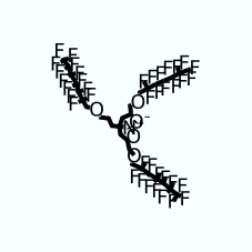 O=[N+]([O-])C(CCCOCC(F)(F)C(F)(F)C(F)(F)C(F)(F)C(F)(F)C(F)(F)F)(CCCOCC(F)(F)C(F)(F)C(F)(F)C(F)(F)C(F)(F)C(F)(F)F)CCCOCC(F)(F)C(F)(F)C(F)(F)C(F)(F)C(F)(F)C(F)(F)F